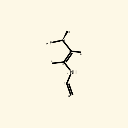 C=CN/C(C)=C(\C)[C@H](C)F